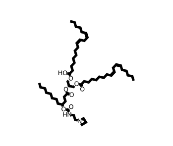 CCCCC/C=C\C/C=C\CCCCCCCC(=O)OCC(COC(O)CCCCCCC/C=C\C/C=C\CCCCC)OC(=O)CCC(CCCCCCCC)OC(=O)NCCN1CCC1